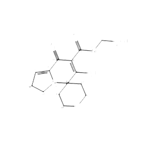 O=C(O)CNC(=O)C1=C(O)C2(CCOCC2)N2CCC=C2C1=O